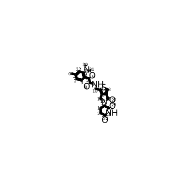 Cc1ccc(C(=O)C(=O)NCc2scc3c2CN(C2CCC(=O)NC2=O)C3=O)c(N(C)C)c1